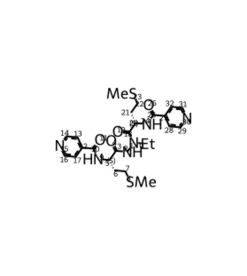 CCN(NC(=O)[C@H](CCSC)NC(=O)c1ccncc1)C(=O)[C@H](CCSC)NC(=O)c1ccncc1